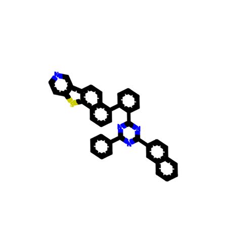 c1ccc(-c2nc(-c3ccc4ccccc4c3)nc(-c3ccccc3-c3cccc4c3ccc3c5cnccc5sc43)n2)cc1